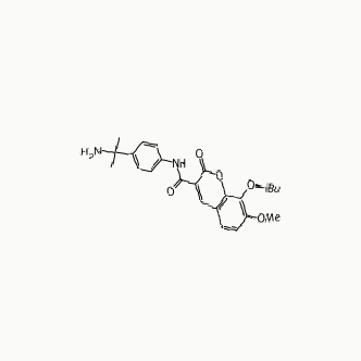 CC[C@H](C)Oc1c(OC)ccc2cc(C(=O)Nc3ccc(C(C)(C)N)cc3)c(=O)oc12